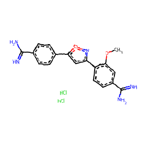 COc1cc(C(=N)N)ccc1-c1cc(-c2ccc(C(=N)N)cc2)on1.Cl.Cl